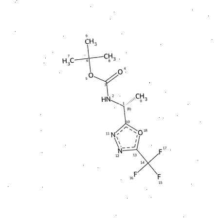 C[C@@H](NC(=O)OC(C)(C)C)c1nnc(C(F)(F)F)o1